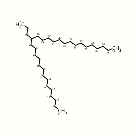 [CH2]CCC(CCCCCCCCCCCCCC)CCCCCCCCCCCCCCC